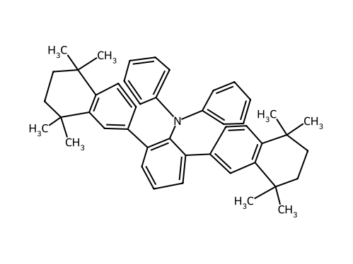 CC1(C)CCC(C)(C)c2cc(-c3cccc(-c4ccc5c(c4)C(C)(C)CCC5(C)C)c3N(c3ccccc3)c3ccccc3)ccc21